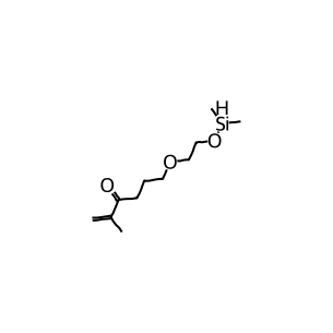 C=C(C)C(=O)CCCOCCO[SiH](C)C